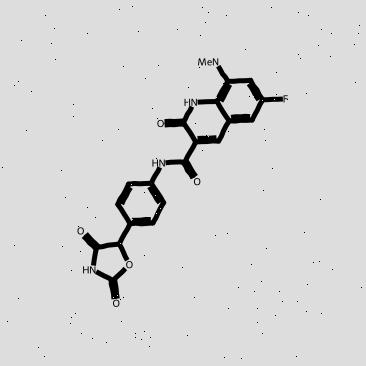 CNc1cc(F)cc2cc(C(=O)Nc3ccc(C4OC(=O)NC4=O)cc3)c(=O)[nH]c12